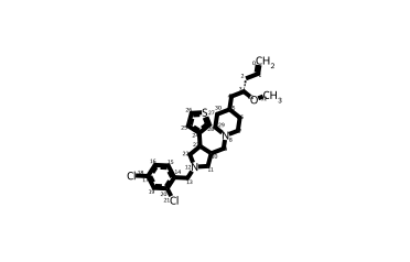 C=CC[C@@H](CC1CCN(CC2CN(Cc3ccc(Cl)cc3Cl)CC2c2ccsc2)CC1)OC